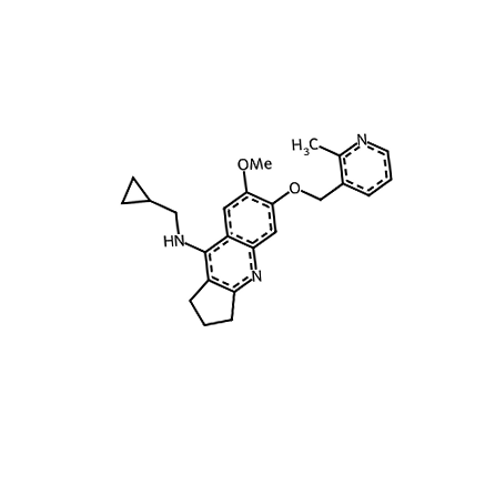 COc1cc2c(NCC3CC3)c3c(nc2cc1OCc1cccnc1C)CCC3